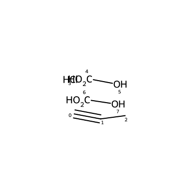 C#CC.Cl.O=C(O)O.O=C(O)O